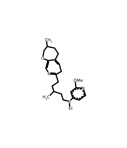 CCN(CCC(C)CCC1=NC=C2OCC(C)CCC2=CC1)c1ccnc(OC)c1